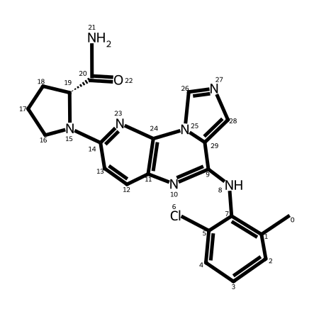 Cc1cccc(Cl)c1Nc1nc2ccc(N3CCC[C@@H]3C(N)=O)nc2n2cncc12